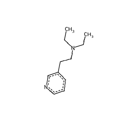 CCN(CC)CCc1cccnc1